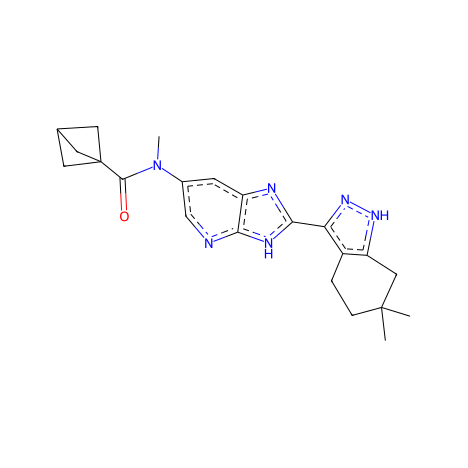 CN(C(=O)C12CC(C1)C2)c1cnc2[nH]c(-c3n[nH]c4c3CCC(C)(C)C4)nc2c1